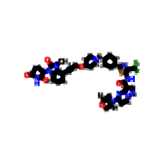 Cn1c(=O)n(C2CCC(=O)NC2=O)c2cccc(C#CCOC3CCN(C[C@H]4CC[C@H](c5nc(C(F)F)c(NC(=O)c6cnn7ccc(N8C[C@H]9C[C@@H]8CO9)nc67)s5)CC4)CC3)c21